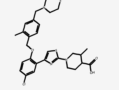 Cc1cc(CN2CC[S+]([O-])CC2)ccc1COc1ccc(Cl)cc1-c1csc(N2CCC(C(=O)O)C(C)C2)n1